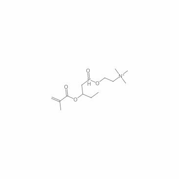 C=C(C)C(=O)OC(CC)C[PH](=O)OCC[N+](C)(C)C